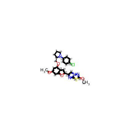 COc1cc(OC[C@H]2CCCN2c2ccc(Cl)cc2)c2cc(-c3cn4nc(OC)sc4n3)oc2c1